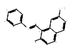 Oc1ccc2ccc(O)c(/C=N/c3ccccc3)c2c1